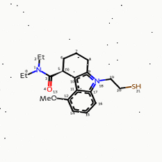 CCN(CC)C(=O)[C@H]1CCCc2c1c1c(OC)cccc1n2CCS